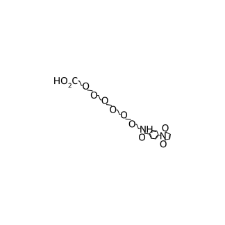 O=C(O)CCOCCOCCOCCOCCOCCOCCNC(=O)c1ccc(N2C(=O)C=CC2=O)cc1